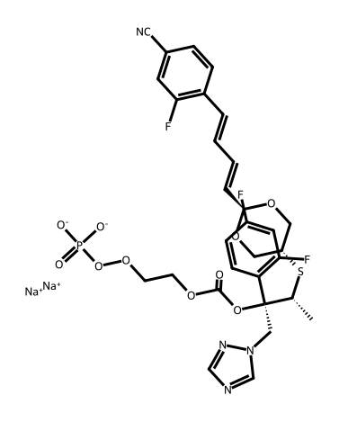 C[C@@H](S[C@H]1CO[C@H](/C=C/C=C/c2ccc(C#N)cc2F)OC1)[C@@](Cn1cncn1)(OC(=O)OCCOOP(=O)([O-])[O-])c1ccc(F)cc1F.[Na+].[Na+]